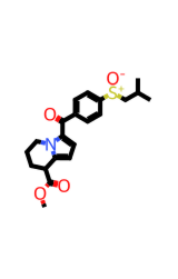 COC(=O)C1CCCn2c(C(=O)c3ccc([S+]([O-])CC(C)C)cc3)ccc21